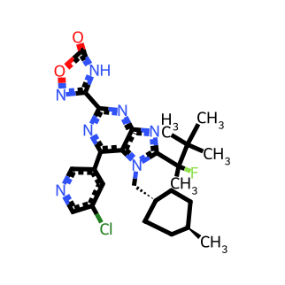 CC(C)(C)C(C)(F)c1nc2nc(-c3noc(=O)[nH]3)nc(-c3cncc(Cl)c3)c2n1C[C@H]1CC[C@H](C)CC1